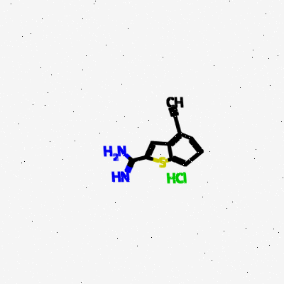 C#Cc1cccc2sc(C(=N)N)cc12.Cl